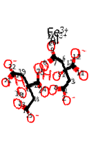 O=C([O-])CC(O)(CC(=O)[O-])C(=O)[O-].O=C([O-])CC(O)(CC(=O)[O-])C(=O)[O-].[Al+3].[Fe+3]